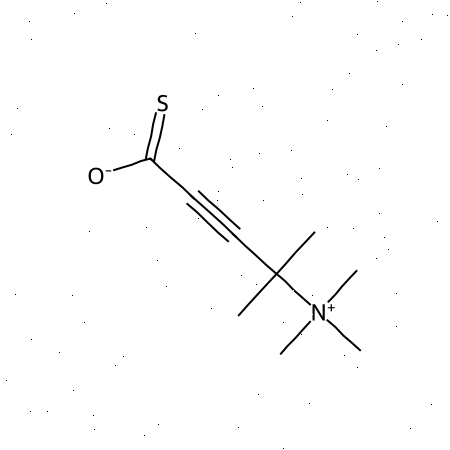 CC(C)(C#CC([O-])=S)[N+](C)(C)C